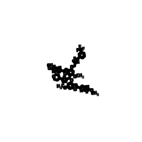 COc1cc(OC(c2csc(C3CCOCC3)n2)c2c(OC)cc(OCc3csc(-c4cccc(C(F)(F)F)c4)n3)c3cc(-c4cn5nc(OC)sc5n4)oc23)c2cc(-c3cn4nc(OC)sc4n3)oc2c1